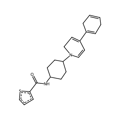 O=C(NC1CCC(N2C=CC(C3=CCC=CC3)=CC2)CC1)c1cccs1